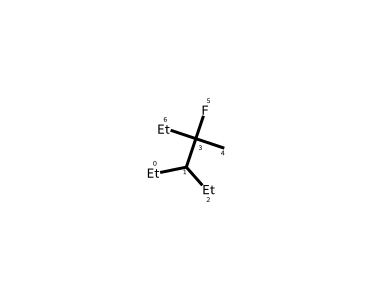 CCC(CC)C(C)(F)CC